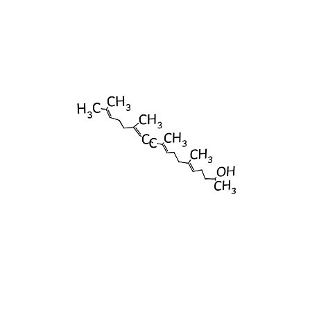 CC(C)=CCC/C(C)=C/CC/C(C)=C/CC/C(C)=C/CCC(C)O